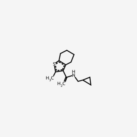 C=C(NCC1CC1)c1c(C)sc2c1CCCC2